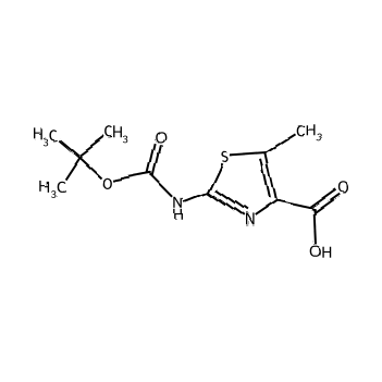 Cc1sc(NC(=O)OC(C)(C)C)nc1C(=O)O